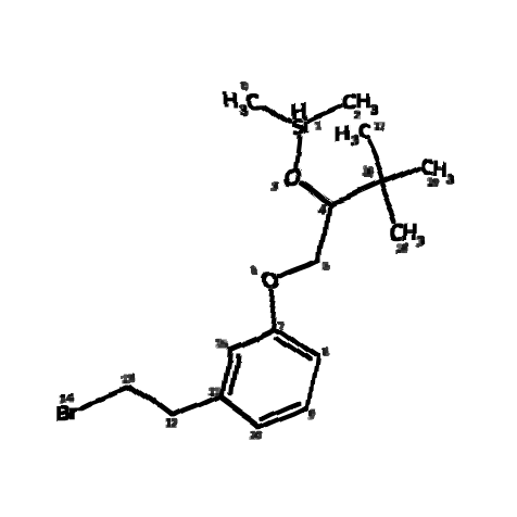 C[SiH](C)OC(COc1cccc(CCBr)c1)C(C)(C)C